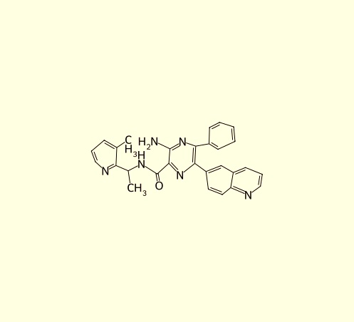 Cc1cccnc1C(C)NC(=O)c1nc(-c2ccc3ncccc3c2)c(-c2ccccc2)nc1N